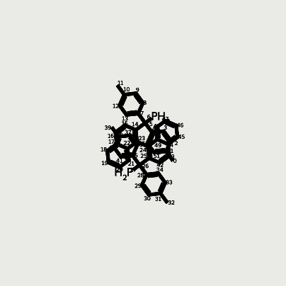 Cc1ccc(C(P)(c2ccc(C)cc2)c2ccc3ccccc3c2-c2c(C(P)(c3ccc(C)cc3)c3ccc(C)cc3)ccc3ccccc23)cc1